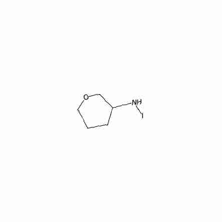 INC1CCCOC1